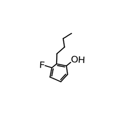 CCCCc1c(O)cccc1F